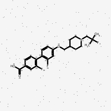 CC(C)(F)CN1CCC(COc2ccc(-c3ccc(C(=O)O)cc3F)c(F)c2)CC1